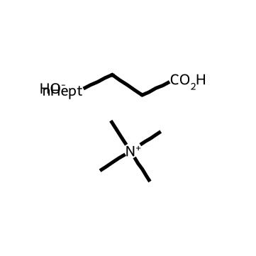 CCCCCCCCCC(=O)O.C[N+](C)(C)C.[OH-]